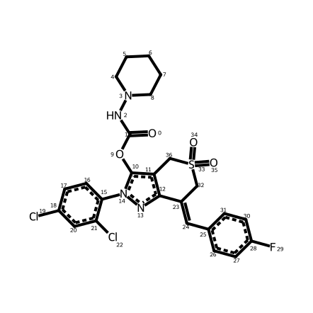 O=C(NN1CCCCC1)Oc1c2c(nn1-c1ccc(Cl)cc1Cl)/C(=C/c1ccc(F)cc1)CS(=O)(=O)C2